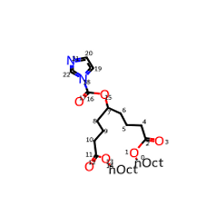 CCCCCCCCOC(=O)CCCC(CCCC(=O)OCCCCCCCC)OC(=O)n1ccnc1